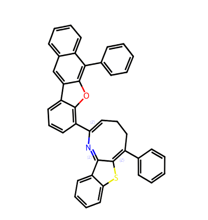 C1=C(c2cccc3c2oc2c(-c4ccccc4)c4ccccc4cc23)/N=c2\c(sc3ccccc23)=C(\c2ccccc2)CC\1